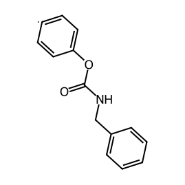 O=C(NCc1ccccc1)Oc1cc[c]cc1